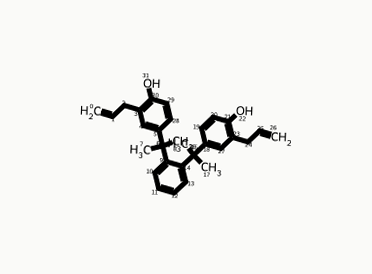 C=CCc1cc(C(C)(C)c2ccccc2C(C)(C)c2ccc(O)c(CC=C)c2)ccc1O